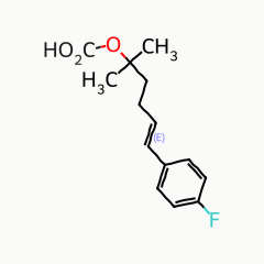 CC(C)(CC/C=C/c1ccc(F)cc1)OC(=O)O